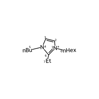 CCCCCC[n+]1ccn(CCCC)c1CC